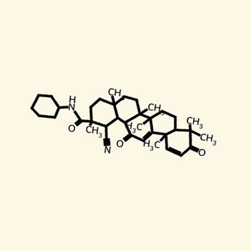 CC12CCC(C)(C(=O)NC3CCCCC3)C(C#N)C1C1C(=O)C=C3C4(C)C=CC(=O)C(C)(C)C4CCC3(C)C1(C)CC2